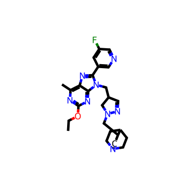 CCOc1nc(C)c2nc(-c3cncc(F)c3)n(CC3C=NN(CC4CN5CCC4CC5)C3)c2n1